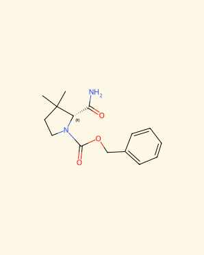 CC1(C)CCN(C(=O)OCc2ccccc2)[C@H]1C(N)=O